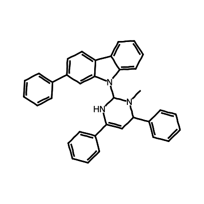 CN1C(c2ccccc2)C=C(c2ccccc2)NC1n1c2ccccc2c2ccc(-c3ccccc3)cc21